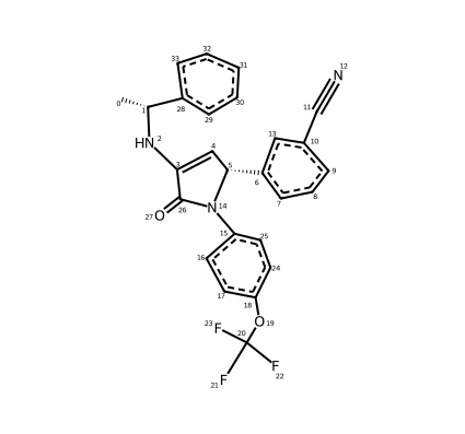 C[C@@H](NC1=C[C@H](c2cccc(C#N)c2)N(c2ccc(OC(F)(F)F)cc2)C1=O)c1ccccc1